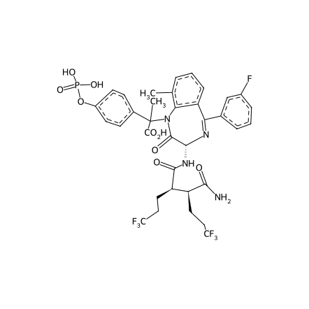 Cc1cccc2c1N(C(C)(C(=O)O)c1ccc(OP(=O)(O)O)cc1)C(=O)[C@@H](NC(=O)[C@H](CCC(F)(F)F)[C@H](CCC(F)(F)F)C(N)=O)N=C2c1cccc(F)c1